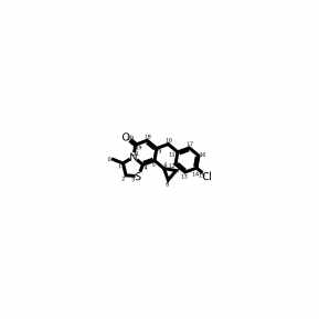 CC1CSc2c(C3CC3)c(Cc3ccc(Cl)cc3)cc(=O)n21